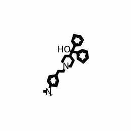 CN(C)c1ccc(CCN2CCC(C(O)(c3ccccc3)c3ccccc3)CC2)cc1